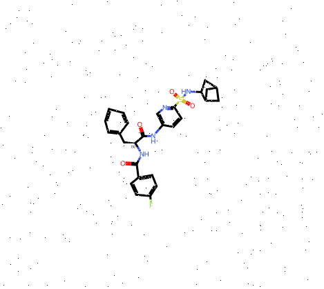 O=C(N[C@@H](Cc1ccccc1)C(=O)Nc1ccc(S(=O)(=O)NC2CC3CC2C3)nc1)c1ccc(F)cc1